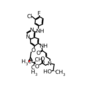 C[C@H](O)CN(C/C=C/C(=O)Nc1cc2c(Nc3ccc(F)c(Cl)c3)ncnc2cc1OCC1CC1)CC(=O)OC(C)(C)C